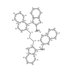 Bc1sc2ccccc2c1-c1c(CCCc2sc3ccccc3c2Nc2ccc3ccccc3c2)ccc2ccccc12